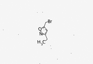 CCc1cc(CBr)on1